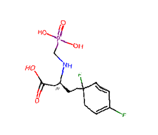 O=C(O)[C@H](CC1(F)C=CC(F)=CC1)NCP(=O)(O)O